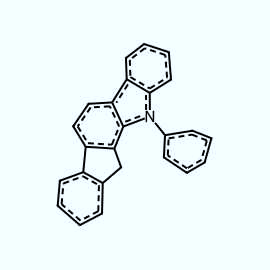 c1ccc(-n2c3ccccc3c3ccc4c(c32)Cc2ccccc2-4)cc1